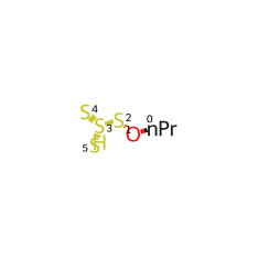 CCCOS[SH](=S)=S